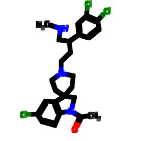 CNCC(CCN1CCC2(CC1)CN(C(C)=O)c1ccc(Cl)cc12)c1ccc(Cl)c(Cl)c1